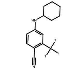 N#Cc1ccc(NC2C[CH]CCC2)cc1C(F)(F)F